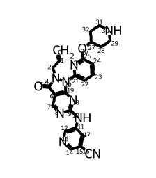 C=CCn1c(=O)c2cnc(Nc3cncc(C#N)c3)nc2n1-c1cccc(OC2CCNCC2)n1